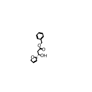 O=C(CC(O)[C@@H]1C=CCO1)OCc1ccccc1